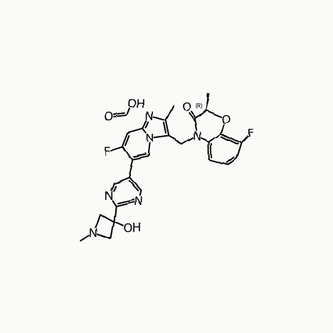 Cc1nc2cc(F)c(-c3cnc(C4(O)CN(C)C4)nc3)cn2c1CN1C(=O)[C@@H](C)Oc2c(F)cccc21.O=CO